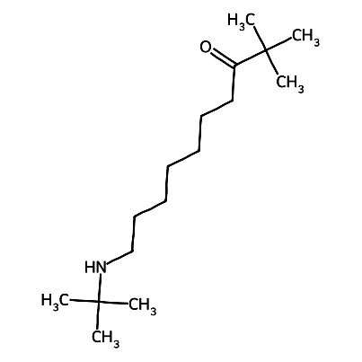 CC(C)(C)NCCCCCCCC(=O)C(C)(C)C